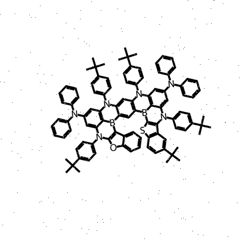 CC(C)(C)c1ccc(N2c3cc4c(cc3B3c5c2cc(N(c2ccccc2)c2ccccc2)cc5N(c2ccc(C(C)(C)C)cc2)c2oc5ccccc5c23)B2c3sc5ccc(C(C)(C)C)cc5c3N(c3ccc(C(C)(C)C)cc3)c3cc(N(c5ccccc5)c5ccccc5)cc(c32)N4c2ccc(C(C)(C)C)cc2)cc1